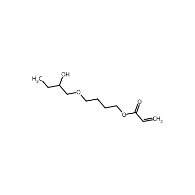 C=CC(=O)OCCCCOCC(O)CC